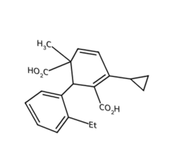 CCc1ccccc1C1C(C(=O)O)=C(C2CC2)C=CC1(C)C(=O)O